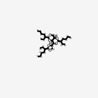 CCCCC(CC)C1OC[C@@H]2OC(C(CC)CCCC)O[C@H]([C@H]3COC(C(CC)CCCC)O3)[C@@H]2O1